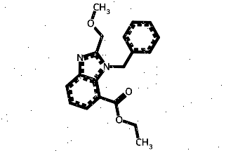 CCOC(=O)c1cccc2nc(COC)n(Cc3ccccc3)c12